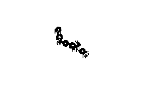 O=C(c1ccc(-c2ccc3c(Nc4ccc5scnc5c4)ccnc3c2)cc1)N1CCN(c2ccccn2)CC1